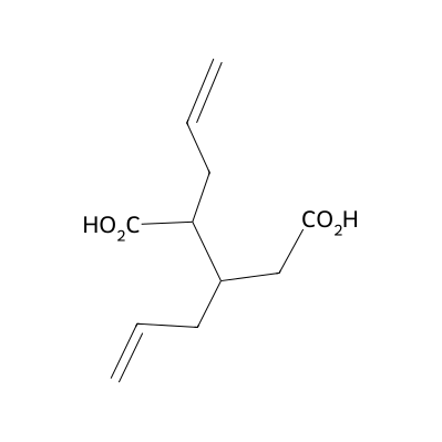 C=CCC(CC(=O)O)C(CC=C)C(=O)O